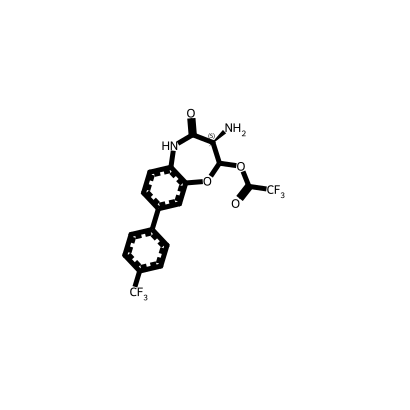 N[C@@H]1C(=O)Nc2ccc(-c3ccc(C(F)(F)F)cc3)cc2OC1OC(=O)C(F)(F)F